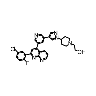 OCCN1CCC(n2cc(-c3cncc(-c4cc(-c5cc(Cl)ccc5F)nc5ncccc45)c3)cn2)CC1